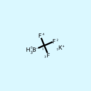 [BH3-]C(F)(F)F.[K+]